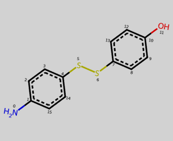 Nc1ccc(SSc2ccc(O)cc2)cc1